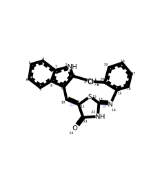 Cc1[nH]c2ccccc2c1/C=C1\S/C(=N\c2ccccc2Cl)NC1=O